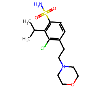 CC(C)c1c(S(N)(=O)=O)[c]cc(CCN2CCOCC2)c1Cl